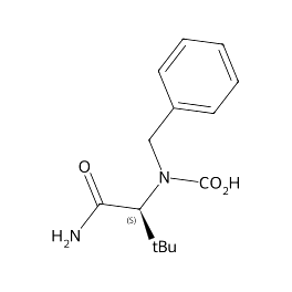 CC(C)(C)[C@@H](C(N)=O)N(Cc1ccccc1)C(=O)O